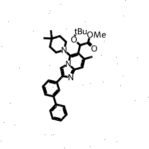 COC(=O)C(OC(C)(C)C)c1c(C)cc2nc(-c3cccc(-c4ccccc4)c3)cn2c1N1CCC(C)(C)CC1